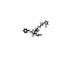 I.O=CNC(Cc1cc(OCCCNC2=NCCN2)no1)(NC(=O)OCc1ccccc1)C(=O)O